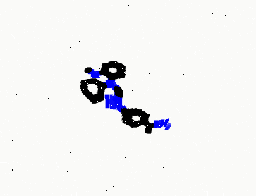 C=Nc1ccccc1N(CNc1ccc(C(=C)N)cc1)C1CCCCC1